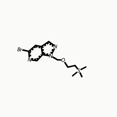 CS(C)(C)CCOCn1ncc2cc(Br)ncc21